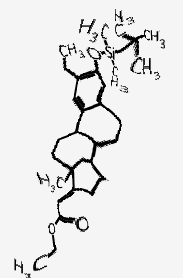 CCOC(=O)C=C1CCC2C3CCc4cc(O[Si](C)(C)C(C)(C)C)c(CC)cc4C3CCC12C